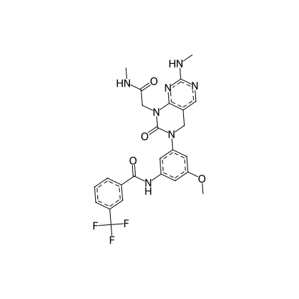 CNC(=O)CN1C(=O)N(c2cc(NC(=O)c3cccc(C(F)(F)F)c3)cc(OC)c2)Cc2cnc(NC)nc21